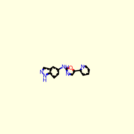 c1ccc(-c2cnc(Nc3ccc4[nH]ncc4c3)o2)nc1